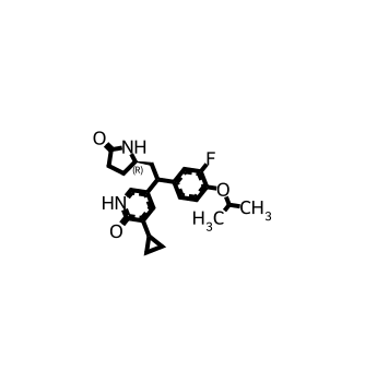 CC(C)Oc1ccc(C(C[C@H]2CCC(=O)N2)c2c[nH]c(=O)c(C3CC3)c2)cc1F